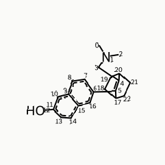 CN(C)CC1=C(c2ccc3cc(O)ccc3c2)C2CCC1CC2